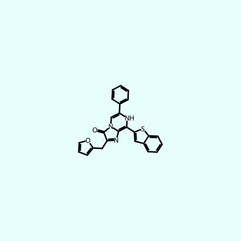 O=c1c(Cc2ccco2)nc2c(-c3cc4ccccc4s3)[nH]c(-c3ccccc3)cn1-2